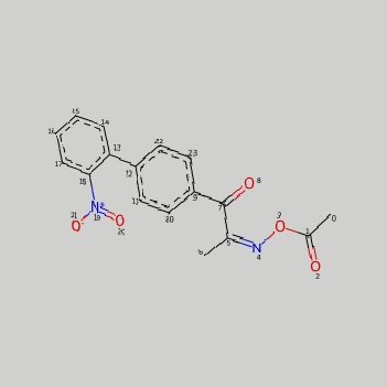 CC(=O)O/N=C(/C)C(=O)c1ccc(-c2ccccc2[N+](=O)[O-])cc1